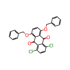 O=C1c2c(Cl)ccc(Cl)c2C(=O)c2c(OCc3ccccc3)ccc(OCc3ccccc3)c21